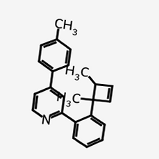 Cc1ccc(-c2ccnc(-c3ccccc3C3(C)C=CC3C)c2)cc1